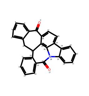 O=C1c2ccccc2CC2c3ccccc3C(=O)n3c4ccccc4c4ccc1c2c43